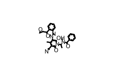 Cc1c(N=Nc2ccccc2C(=O)C2CO2)c(O)n(C(C)N(C)C(=O)c2ccccc2)c(=O)c1C#N